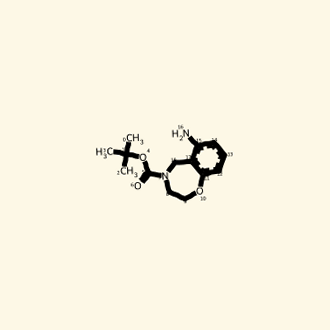 CC(C)(C)OC(=O)N1CCOc2cccc(N)c2C1